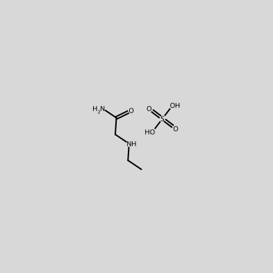 CCNCC(N)=O.O=S(=O)(O)O